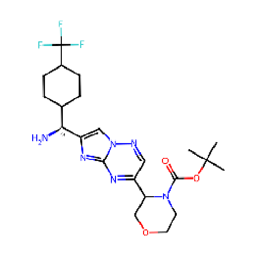 CC(C)(C)OC(=O)N1CCOCC1c1cnn2cc([C@@H](N)C3CCC(C(F)(F)F)CC3)nc2n1